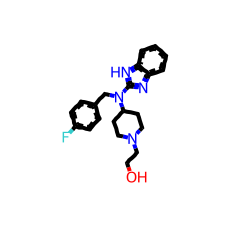 OCCN1CCC(N(Cc2ccc(F)cc2)c2nc3ccccc3[nH]2)CC1